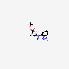 CN(CC(=O)Nc1ccccc1N)C(=O)OC(C)(C)C